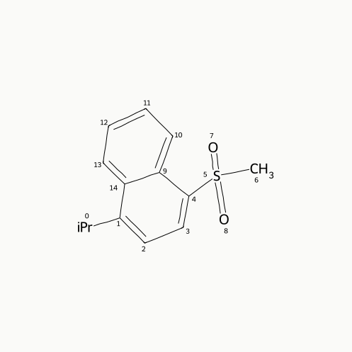 CC(C)c1ccc(S(C)(=O)=O)c2ccccc12